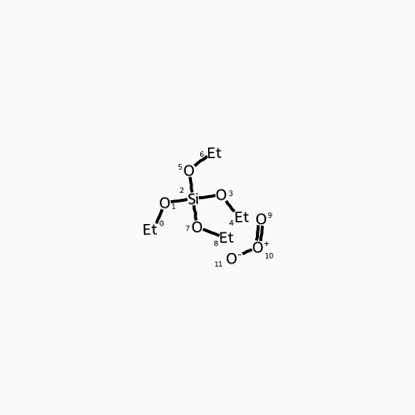 CCO[Si](OCC)(OCC)OCC.O=[O+][O-]